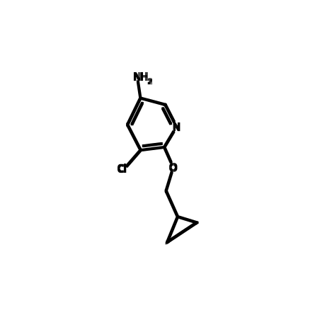 Nc1cnc(OCC2CC2)c(Cl)c1